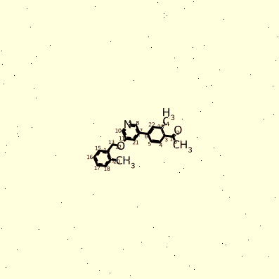 CC(=O)C1C=CC(c2cncc(OCc3ccccc3C)c2)=C[C@@H]1C